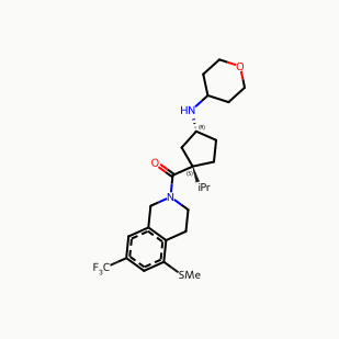 CSc1cc(C(F)(F)F)cc2c1CCN(C(=O)[C@@]1(C(C)C)CC[C@@H](NC3CCOCC3)C1)C2